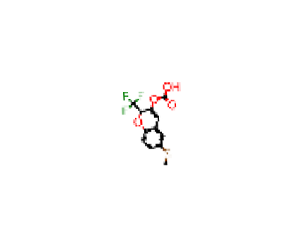 CSc1ccc2c(c1)C=C(OC(=O)O)C(C(F)(F)F)O2